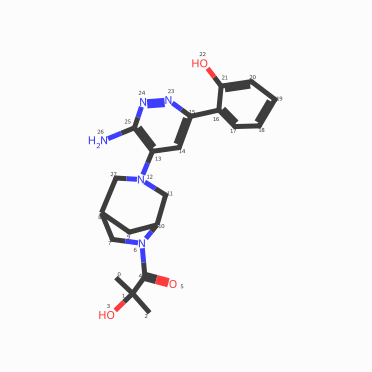 CC(C)(O)C(=O)N1CC2CC1CN(c1cc(-c3ccccc3O)nnc1N)C2